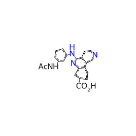 CC(=O)Nc1cccc(Nc2nc3cc(C(=O)O)ccc3c3cnccc23)c1